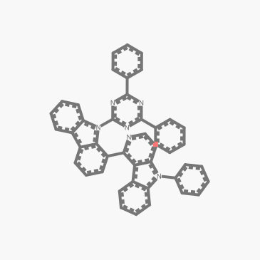 c1ccc(-c2nc(-c3ccccc3)nc(-n3c4ccccc4c4cccc(-c5nccc6c5c5ccccc5n6-c5ccccc5)c43)n2)cc1